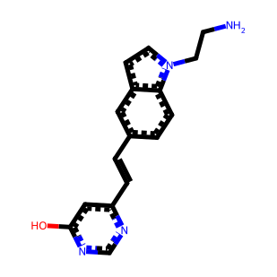 NCCn1ccc2cc(/C=C/c3cc(O)ncn3)ccc21